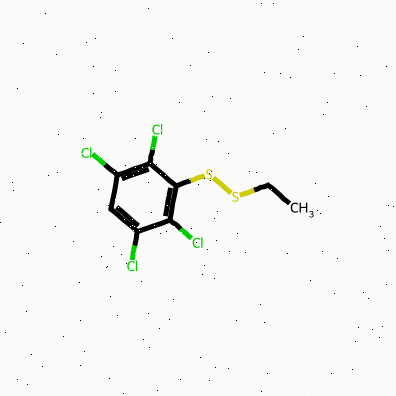 CCSSc1c(Cl)c(Cl)cc(Cl)c1Cl